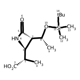 C[C@H](C(=O)O)[C@H]1NC(=O)[C@@H]1[C@@H](C)O[Si](C)(C)C(C)(C)C